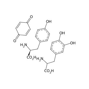 NC(Cc1ccc(O)c(O)c1)C(=O)O.N[C@@H](Cc1ccc(O)cc1)C(=O)O.O=C1C=CC(=O)C=C1